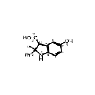 CC(C)C1(C)Nc2ccc(O)cc2C1C(=O)O